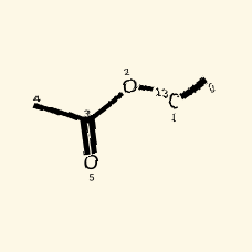 C[13CH2]OC(C)=O